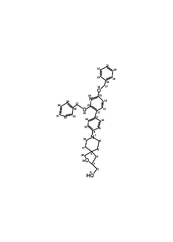 OCC1CC2(CCN(c3ccc(-c4ccc(OCc5ccccc5)nc4OCc4ccccc4)cc3)CC2)CO1